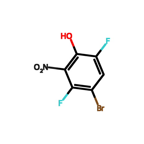 O=[N+]([O-])c1c(O)c(F)cc(Br)c1F